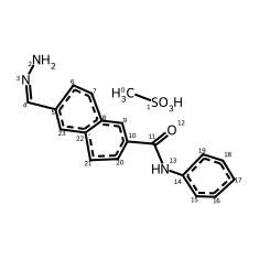 CS(=O)(=O)O.N/N=C\c1ccc2cc(C(=O)Nc3ccccc3)ccc2c1